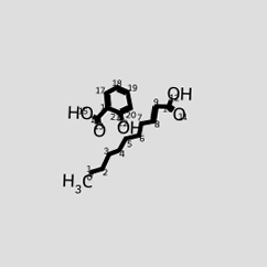 CCCCCCCCC=CC(=O)O.O=C(O)c1ccccc1O